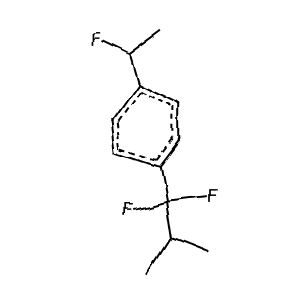 CC(F)c1ccc(C(F)(F)C(C)C)cc1